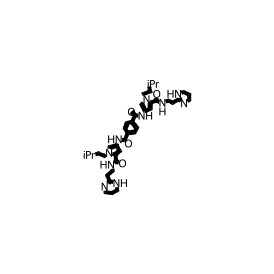 CC(C)CCn1cc(NC(=O)c2ccc(C(=O)Nc3cc(C(=O)NCCC4=NCCCN4)n(CCC(C)C)c3)cc2)cc1C(=O)NCCC1=NCCCN1